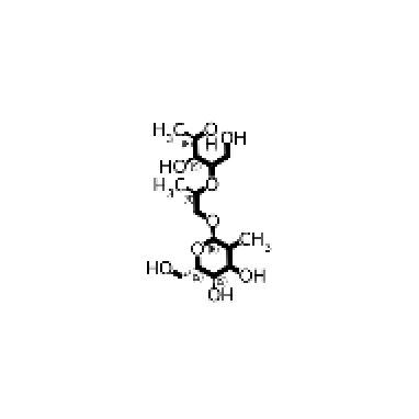 CC1C(O)[C@H](O)[C@H](CO)O[C@H]1OC[C@@H](C)OC(CO)[C@@H](O)[C@@H](C)O